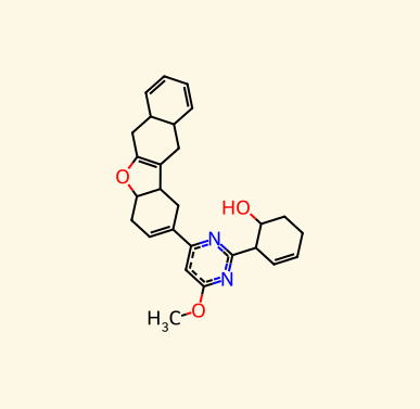 COc1cc(C2=CCC3OC4=C(CC5C=CC=CC5C4)C3C2)nc(C2C=CCCC2O)n1